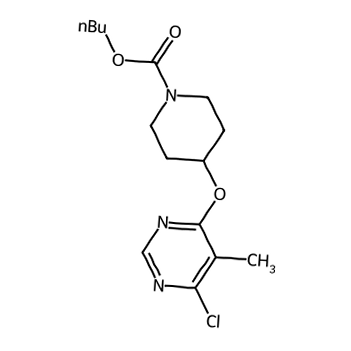 CCCCOC(=O)N1CCC(Oc2ncnc(Cl)c2C)CC1